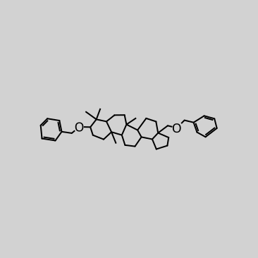 CC1(C)C(OCc2ccccc2)CCC2(C)C1CCC1(C)C3CCC4(COCc5ccccc5)CCCC4C3CCC12